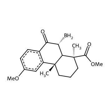 B[C@H]1C(=O)c2ccc(OC)cc2[C@@]2(C)CCC[C@](C)(C(=O)OC)C12